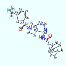 O=C(CC12CC3CC(CC(C3)C1)C2)Nc1ncnc2c1CCN(C(=O)c1cccc(C(F)(F)F)c1)C2